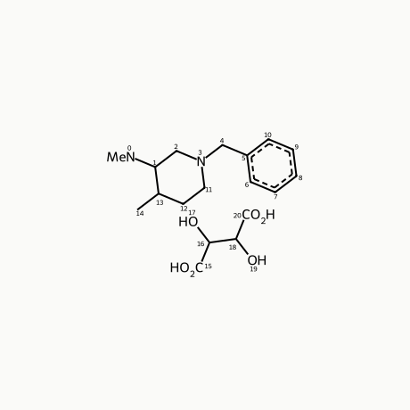 CNC1CN(Cc2ccccc2)CCC1C.O=C(O)C(O)C(O)C(=O)O